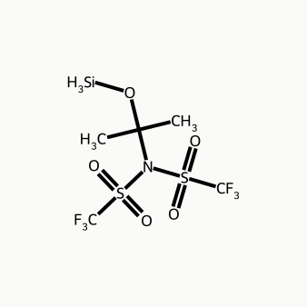 CC(C)(O[SiH3])N(S(=O)(=O)C(F)(F)F)S(=O)(=O)C(F)(F)F